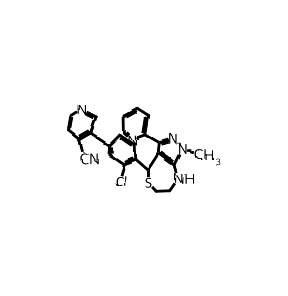 Cn1nc(-c2ccccn2)c2c1NCCSC2c1ccc(-c2cnccc2C#N)cc1Cl